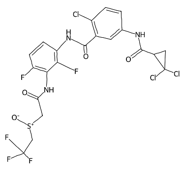 O=C(C[S+]([O-])CC(F)(F)F)Nc1c(F)ccc(NC(=O)c2cc(NC(=O)C3CC3(Cl)Cl)ccc2Cl)c1F